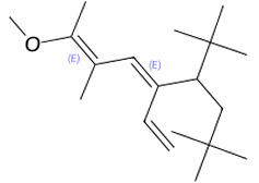 C=C/C(=C\C(C)=C(/C)OC)C(CC(C)(C)C)C(C)(C)C